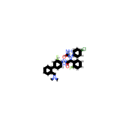 CN(C)Cc1ccccc1-c1ccc(NC(=O)C(c2ccccc2F)N(C(N)=O)c2ccc(Cl)cc2)c(F)c1